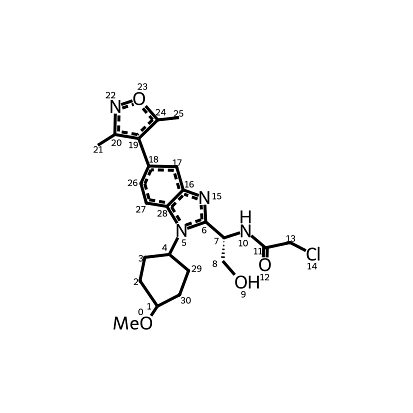 COC1CCC(n2c([C@@H](CO)NC(=O)CCl)nc3cc(-c4c(C)noc4C)ccc32)CC1